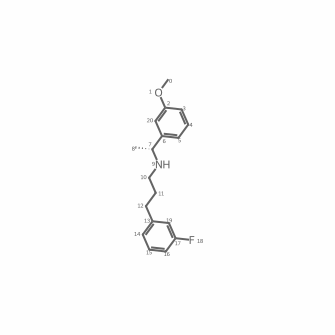 COc1cccc([C@@H](C)NCCCc2cccc(F)c2)c1